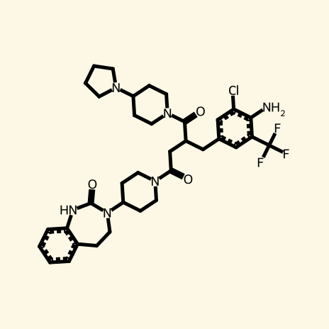 Nc1c(Cl)cc(CC(CC(=O)N2CCC(N3CCc4ccccc4NC3=O)CC2)C(=O)N2CCC(N3CCCC3)CC2)cc1C(F)(F)F